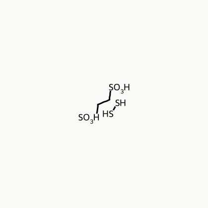 O=S(=O)(O)CCS(=O)(=O)O.SS